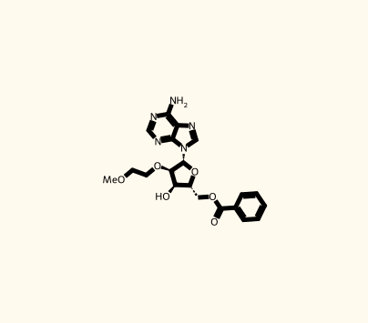 COCCO[C@@H]1[C@H](O)[C@@H](COC(=O)c2ccccc2)O[C@H]1n1cnc2c(N)ncnc21